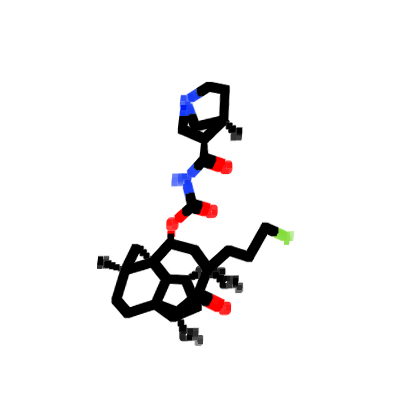 CO[C@@H]1CCC23CC[C@H]4C[C@@]4(C12)[C@H](OC(=O)NC(=O)[C@H]1CN2CC[C@@H]1C2)C[C@@](C)(CCCF)C(=O)[C@@H]3C